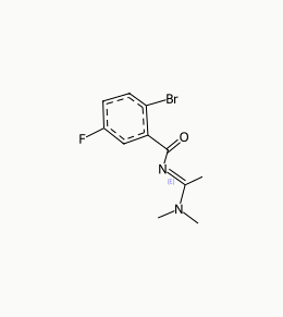 C/C(=N\C(=O)c1cc(F)ccc1Br)N(C)C